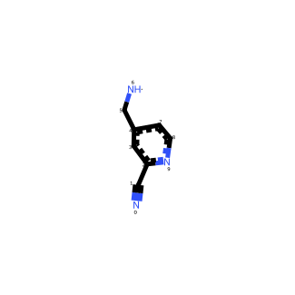 N#Cc1cc(C[NH])ccn1